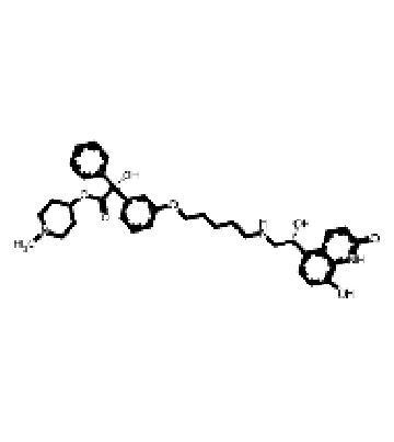 CN1CCC(OC(=O)[C@@](O)(c2ccccc2)c2cccc(OCCCCCNC[C@H](O)c3ccc(O)c4[nH]c(=O)ccc34)c2)CC1